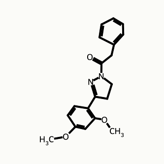 COc1ccc(C2=NN(C(=O)Cc3ccccc3)CC2)c(OC)c1